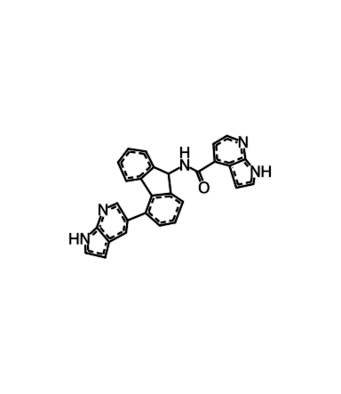 O=C(NC1c2ccccc2-c2c(-c3cnc4[nH]ccc4c3)cccc21)c1ccnc2[nH]ccc12